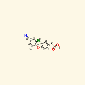 COC(=O)Cc1ccc(Oc2ccc(C#N)cc2C)c(Br)c1